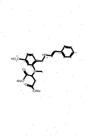 COC(=O)CC(C(=O)OC)N(C)c1cc(C(=O)O)ccc1CNC=Cc1ccccc1